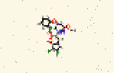 CCOC(=O)/C=C(\CNC(CC1C[C@@H](F)[C@@H](F)C1)C(=O)OC)Oc1ccccc1Cl